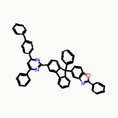 c1ccc(-c2ccc(-c3cc(-c4ccccc4)nc(-c4ccc5c(c4)-c4ccccc4C5(c4ccccc4)c4ccc5oc(-c6ccccc6)nc5c4)n3)cc2)cc1